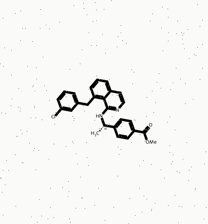 COC(=O)c1ccc([C@H](C)Nc2nccc3cccc(Cc4cccc(Cl)c4)c23)cc1